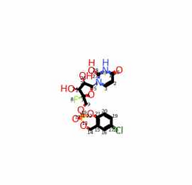 O=C1C=CN([C@@H]2O[C@](F)(COP3(=O)OCc4cc(Cl)ccc4O3)[C@@H](O)[C@H]2O)C(O)N1